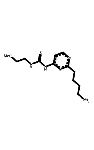 COCCNC(=S)Nc1ccnc(CCCCN)n1